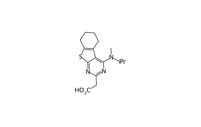 CC(C)N(C)c1nc(CC(=O)O)nc2sc3c(c12)CCCC3